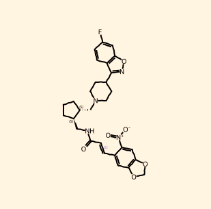 O=C(/C=C/c1cc2c(cc1[N+](=O)[O-])OCO2)NC[C@H]1CCC[C@@H]1CN1CCC(c2noc3cc(F)ccc23)CC1